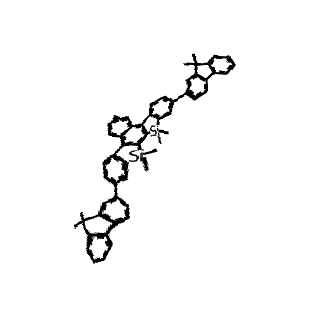 CC1(C)c2ccccc2-c2ccc(-c3ccc4c(c3)[Si](C)(C)c3c5c(c6ccccc6c3-4)-c3ccc(-c4ccc6c(c4)C(C)(C)c4ccccc4-6)cc3[Si]5(C)C)cc21